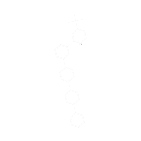 CC(C)(C)c1ccnc(-c2cccc(-c3ccc(-c4ccc(-c5ccccc5)cc4)cc3)c2)c1